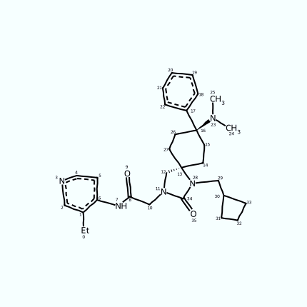 CCc1cnccc1NC(=O)CN1C[C@]2(CC[C@](c3ccccc3)(N(C)C)CC2)N(CC2CCC2)C1=O